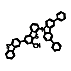 N#Cc1cc(-c2ccc3sc4ccccc4c3c2)cc2c1sc1c(-n3c4ccc(-c5ccccc5)cc4c4cc(-c5ccccc5)ccc43)cccc12